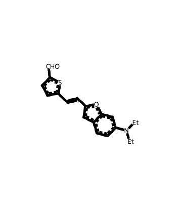 CCN(CC)c1ccc2cc(/C=C/c3ccc(C=O)s3)oc2c1